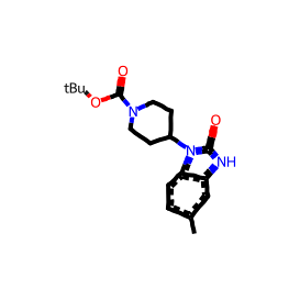 Cc1ccc2c(c1)[nH]c(=O)n2C1CCN(C(=O)OC(C)(C)C)CC1